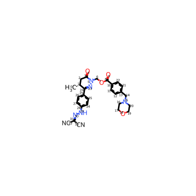 C[C@@H]1CC(=O)N(COC(=O)c2ccc(CN3CCOCC3)cc2)N=C1c1ccc(NN=C(C#N)C#N)cc1